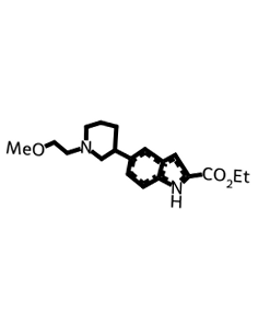 CCOC(=O)c1cc2cc(C3CCCN(CCOC)C3)ccc2[nH]1